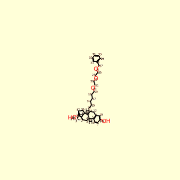 C[C@]12CC[C@@H]3c4ccc(O)cc4C[C@@H](CCCCCCOCCOCCOCc4ccccc4)[C@H]3[C@@H]1CC[C@@H]2O